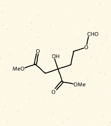 COC(=O)CC(O)(CCOC=O)C(=O)OC